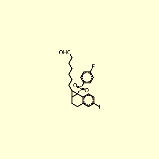 O=CCCCCCCC1C2CCc3cc(I)ccc3C12S(=O)(=O)c1ccc(F)cc1